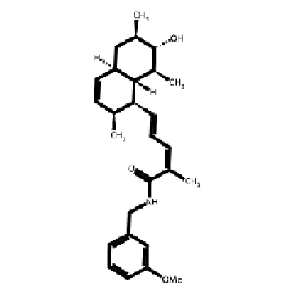 COc1cccc(CNC(=O)C(C)=CC=C[C@@H]2[C@H]3[C@H](C)[C@@H](O)[C@H](C)C[C@@H]3C=C[C@@H]2C)c1